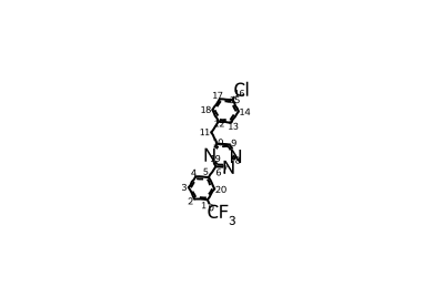 FC(F)(F)c1cccc(-c2nncc(Cc3ccc(Cl)cc3)n2)c1